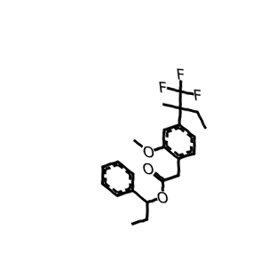 CCC(OC(=O)Cc1ccc(C(C)(CC)C(F)(F)F)cc1OC)c1ccccc1